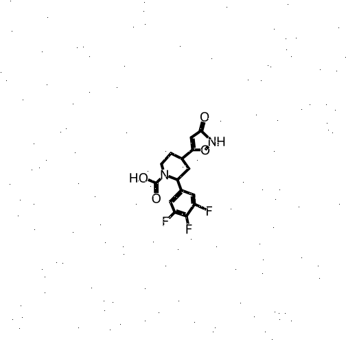 O=C(O)N1CCC(c2cc(=O)[nH]o2)CC1c1cc(F)c(F)c(F)c1